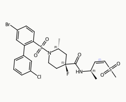 C[C@H](/C=C\S(C)(=O)=O)NC(=O)[C@]1(F)CCN(S(=O)(=O)c2ccc(Br)cc2-c2cccc(Cl)c2)[C@H](C)C1